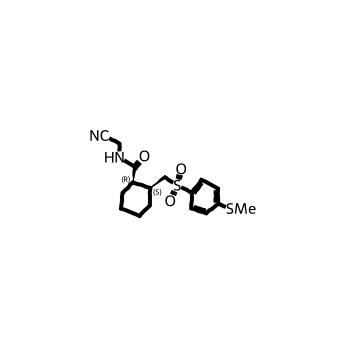 CSc1ccc(S(=O)(=O)C[C@H]2CCCC[C@H]2C(=O)NCC#N)cc1